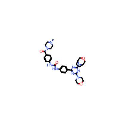 CN1CCN(C(=O)c2ccc(NC(=O)Nc3ccc(-c4nc(N5CCOCC5)nc(N5C6CCC5COC6)n4)cc3)cc2)CC1